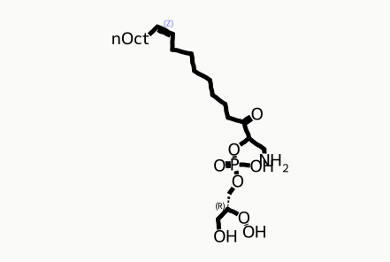 CCCCCCCC/C=C\CCCCCCCC(=O)C(CN)OP(=O)(O)OC[C@@H](CO)OO